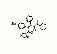 CC(C)(C)c1ccc(N(C(=O)c2cnc[nH]2)C(C(=O)NC2CCCCC2)c2ccccn2)cn1